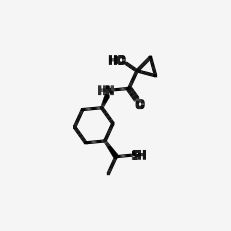 CC(S)[C@H]1CCC[C@@H](NC(=O)C2(O)CC2)C1